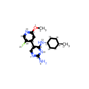 COc1cc(-c2cnc(N)nc2N[C@H]2CC[C@H](C)CC2)c(F)cn1